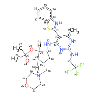 Cc1nc(NCC(F)(F)F)nc(N[C@@H]2C[C@H](CN3CCOCC3)[C@H]3OC(C)(C)O[C@H]32)c1-c1nc2ccccc2s1